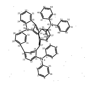 c1ccc(N(c2ccccc2)c2ccc3cc2c2cc4c5ccccc5n(c5ccc3cc5)c4c3c4ccc(cc4N(c4ccccc4)c4ccccc4)c23)cc1